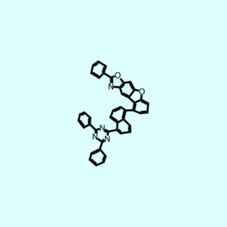 c1ccc(-c2nc(-c3ccccc3)nc(-c3cccc4c(-c5cccc6oc7cc8oc(-c9ccccc9)nc8cc7c56)cccc34)n2)cc1